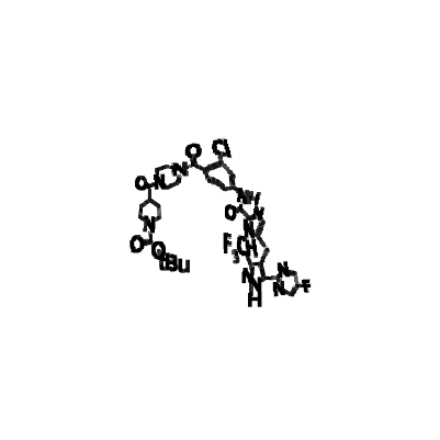 CC(C)(C)OC(=O)N1CCC(C(=O)N2CCN(C(=O)c3ccc(NC(=O)c4ncc(Cc5c(C(F)(F)F)n[nH]c5-c5ncc(F)cn5)[nH]4)cc3Cl)CC2)CC1